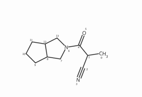 CC(C#N)C(=O)N1CC2CCCC2C1